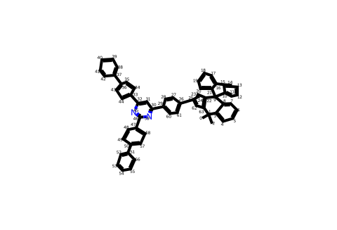 CC1(C)c2ccccc2C2(c3ccccc3-c3ccccc32)c2ccc(-c3ccc(-c4cc(-c5ccc(-c6ccccc6)cc5)nc(-c5ccc(-c6ccccc6)cc5)n4)cc3)cc21